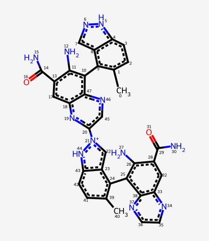 Cc1ccc2[nH]ncc2c1-c1c(N)c(C(N)=O)cc2nc(-[n+]3cc4c(-c5c(N)c(C(N)=O)cc6nccnc56)c(C)ccc4[nH]3)cnc12